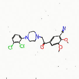 COc1cc(C(=O)CN2CCN(c3cccc(Cl)c3Cl)CC2)cc(C#N)c1OC